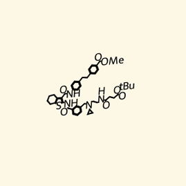 COC(=O)c1ccc(CCc2ccc(NC(=O)c3c(NC(=O)c4cccc(CN(CCNC(=O)CCC(=O)OC(C)(C)C)C5CC5)c4)sc4c3CCCC4)cc2)cc1